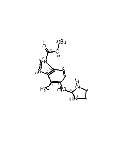 Cc1c(NC2NCCN2)ccc2c1ncn2C(=O)OC(C)(C)C